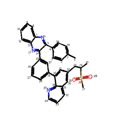 Cc1ccc(-c2nc3ccccc3nc2-c2cccc(-c3cc(CC(C)S(C)(=O)=O)cc4cccnc34)c2)cc1